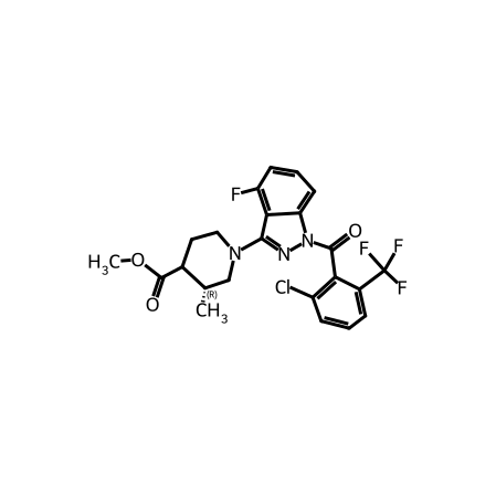 COC(=O)C1CCN(c2nn(C(=O)c3c(Cl)cccc3C(F)(F)F)c3cccc(F)c23)C[C@@H]1C